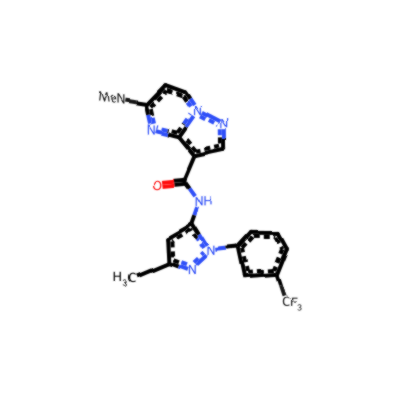 CNc1ccn2ncc(C(=O)Nc3cc(C)nn3-c3cccc(C(F)(F)F)c3)c2n1